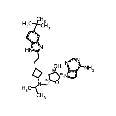 CC(C)N(C[C@@H]1C[C@@H](O)[C@H](n2ccc3c(N)ncnc32)O1)[C@H]1C[C@@H](CCc2nc3cc(C(C)(C)C)ccc3[nH]2)C1